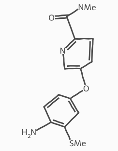 CNC(=O)c1ccc(Oc2ccc(N)c(SC)c2)cn1